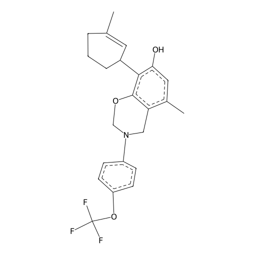 CC1=CC(c2c(O)cc(C)c3c2OCN(c2ccc(OC(F)(F)F)cc2)C3)CCC1